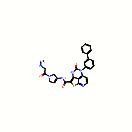 CNCC(=O)N1CC=C(NC(=O)c2sc3nccc4c3c2NC(=O)N4c2cccc(-c3ccccc3)c2)C1